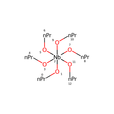 CCC[O][Nb]([O]CCC)([O]CCC)([O]CCC)([O]CCC)[O]CCC